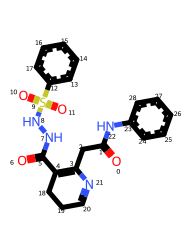 O=C(CC1=C(C(=O)NNS(=O)(=O)c2ccccc2)CCC=N1)Nc1ccccc1